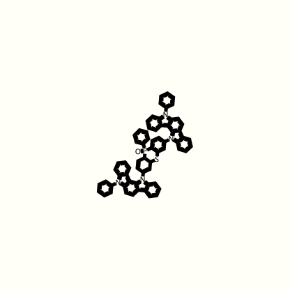 O=P1(c2ccccc2)c2ccc(-n3c4ccccc4c4ccc5c(c6ccccc6n5-c5ccccc5)c43)cc2SC2C=C(n3c4ccccc4c4ccc5c(c6ccccc6n5-c5ccccc5)c43)C=CC21